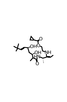 C/C=C(\NCCOC(=O)C1CC1)[C@H](C)NC(=O)C(C)[C@H](O)C[C@H](O)/C=C/C(C)(C)C